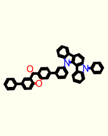 O=c1c2ccc(-c3cccc(-n4c5ccccc5c5ccc6c(c7ccccc7n6-c6ccccc6)c54)c3)cc2oc2ccc(-c3ccccc3)cc12